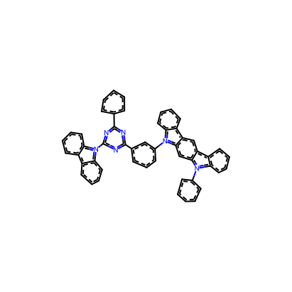 c1ccc(-c2nc(-c3cccc(-n4c5ccccc5c5cc6c7ccccc7n(-c7ccccc7)c6cc54)c3)nc(-n3c4ccccc4c4ccccc43)n2)cc1